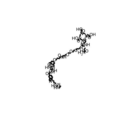 Cc1cc(OCCCC(=O)NCCCOCCOCCOCCCNC(=O)[C@@H](CCC(N)=O)NC(=O)CN2CCN(CC(=O)O)CCN(CC(=O)O)CCN(C(=O)O)CC2)cc(C)c1S(=O)(=O)N[C@@H](CNC(=O)c1ccc2c(cnn2CCCNc2ncc[nH]2)c1)C(=O)O